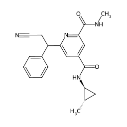 CNC(=O)c1cc(C(=O)N[C@H]2C[C@@H]2C)cc(C(CC#N)c2ccccc2)n1